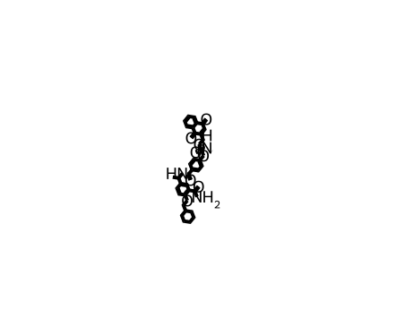 CNP(=O)(OCC1=CC(=O)c2ccccc2C1=O)Oc1ccc(C(=O)NC(C)c2ccc(OCC3CCCCC3)c(C(N)=O)c2)cc1